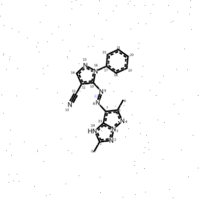 Cc1nn2nc(C)c(/N=N/c3c(C#N)cnn3-c3ccccc3)c2[nH]1